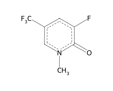 Cn1cc(C(F)(F)F)cc(F)c1=O